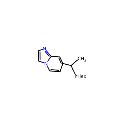 CCCCCCC(C)c1ccn2ccnc2c1